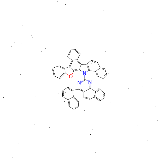 c1ccc2c(-c3nc(-n4c5c6ccccc6ccc5c5c6ccccc6c6c7ccccc7oc6c54)nc4c3ccc3ccccc34)cccc2c1